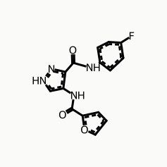 O=C(Nc1c[nH]nc1C(=O)Nc1ccc(F)cc1)c1ccco1